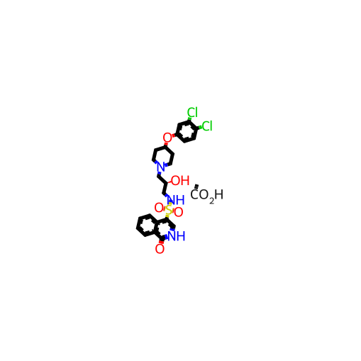 CC(=O)O.O=c1[nH]cc(S(=O)(=O)NC[C@@H](O)CN2CCC(Oc3ccc(Cl)c(Cl)c3)CC2)c2ccccc12